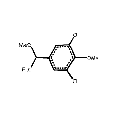 COc1c(Cl)cc(C(OC)C(F)(F)F)cc1Cl